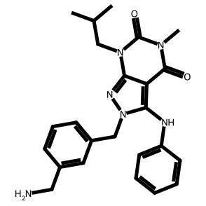 CC(C)Cn1c(=O)n(C)c(=O)c2c(Nc3ccccc3)n(Cc3cccc(CN)c3)nc21